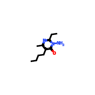 CCCCc1c(C)nc(CC)n(N)c1=O